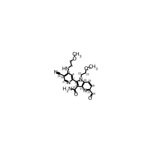 COCCNc1cc(-c2c(C(N)=O)c3nc(C=O)ccc3n2CCOC)ncc1C#N